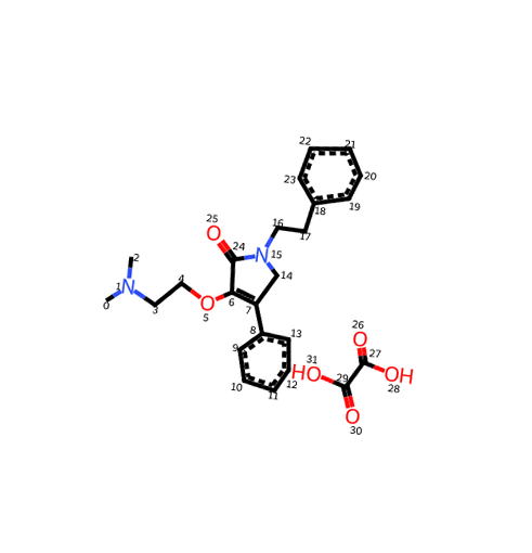 CN(C)CCOC1=C(c2ccccc2)CN(CCc2ccccc2)C1=O.O=C(O)C(=O)O